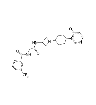 O=C(CNC(=O)c1cccc(C(F)(F)F)c1)NC1CN(C2CCC(n3cnccc3=O)CC2)C1